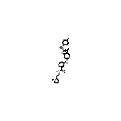 Cc1ccc(Nc2nc3cc(Oc4ccnc(C(=O)NCCC5CCCN5C)c4)ccc3n2C)cc1